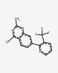 Cc1nc(Cl)c2ccc(-c3ncccc3C(F)(F)F)cc2n1